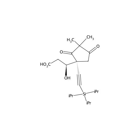 CC(C)[Si](C#C[C@@]1([C@@H](O)CC(=O)O)CC(=O)C(C)(C)C1=O)(C(C)C)C(C)C